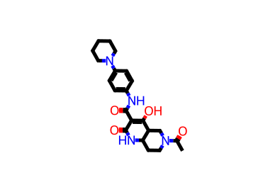 CC(=O)N1CCC2NC(=O)C(C(=O)Nc3ccc(N4CCCCC4)cc3)=C(O)C2C1